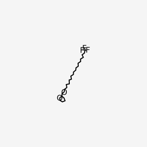 FC(F)(F)CCCCCCCCCCCCCCCCCCOCC1CCCCO1